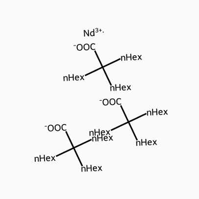 CCCCCCC(CCCCCC)(CCCCCC)C(=O)[O-].CCCCCCC(CCCCCC)(CCCCCC)C(=O)[O-].CCCCCCC(CCCCCC)(CCCCCC)C(=O)[O-].[Nd+3]